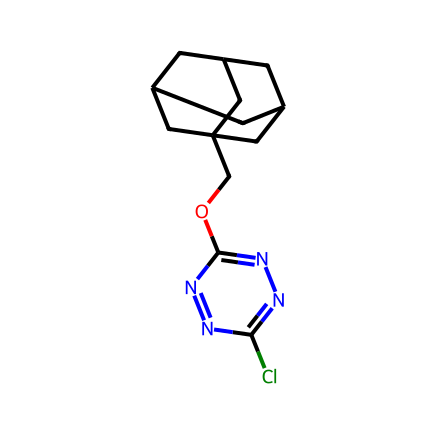 Clc1nnc(OCC23CC4CC(CC(C4)C2)C3)nn1